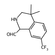 CC1(C)CNC(C=O)c2cc(C(F)(F)F)ccc21